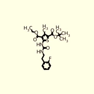 CCOC(=O)c1c(NC(=O)NCCc2ccccc2F)sc(C(=O)OC(C)(C)C)c1C